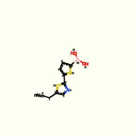 CCCCCCCCCCc1cnc(-c2ccc(B(O)O)s2)s1